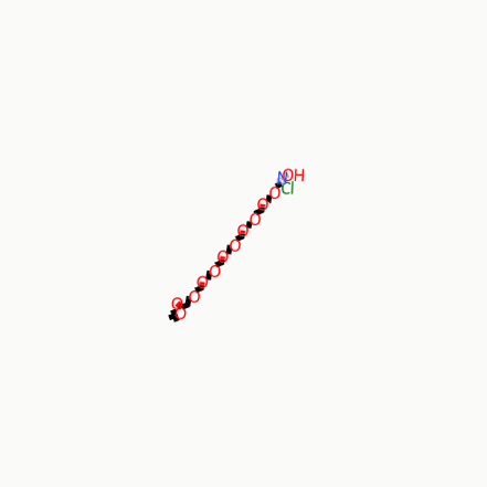 CC(C)(C)OC(=O)CCOCCOCCOCCOCCOCCOCCOCCOCCOC/C(Cl)=N/O